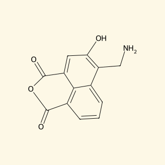 NCc1c(O)cc2c3c(cccc13)C(=O)OC2=O